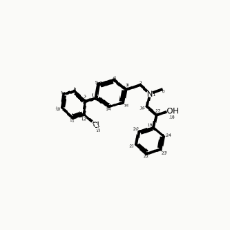 CN(Cc1ccc(-c2ccccc2Cl)cc1)CC(O)c1ccccc1